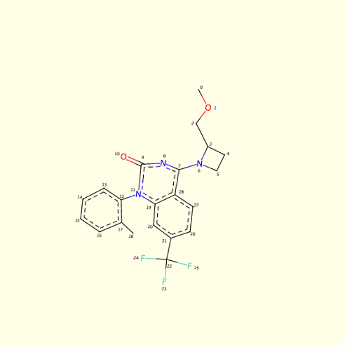 COCC1CCN1c1nc(=O)n(-c2ccccc2C)c2cc(C(F)(F)F)ccc12